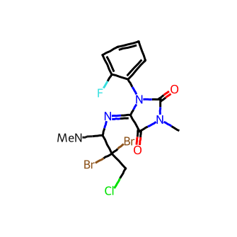 CNC(N=C1C(=O)N(C)C(=O)N1c1ccccc1F)C(Br)(Br)CCl